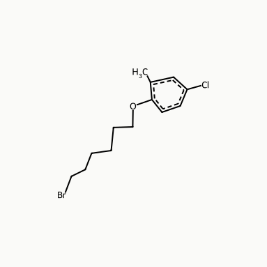 Cc1cc(Cl)ccc1OCCCCCCBr